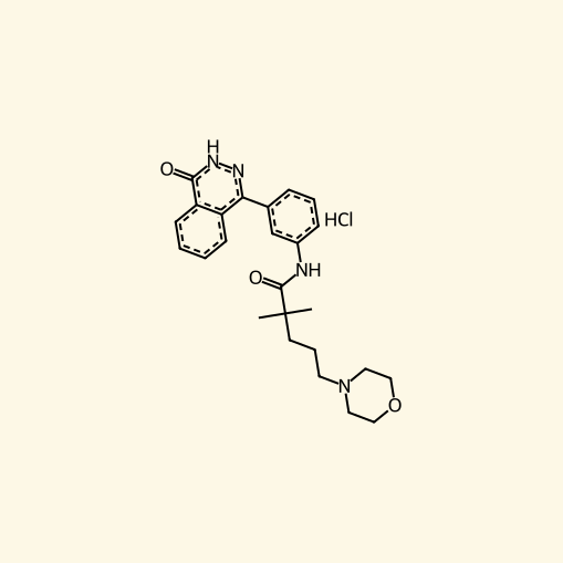 CC(C)(CCCN1CCOCC1)C(=O)Nc1cccc(-c2n[nH]c(=O)c3ccccc23)c1.Cl